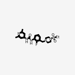 CCS(=O)(=O)N1CCN(Cc2cccc(NC(=O)Nc3cc(C)nc(C)c3)c2F)CC1